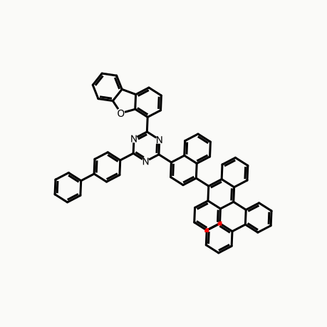 c1ccc(-c2ccc(-c3nc(-c4ccc(-c5c6ccccc6c(-c6ccccc6-c6ccccc6)c6ccccc56)c5ccccc45)nc(-c4cccc5c4oc4ccccc45)n3)cc2)cc1